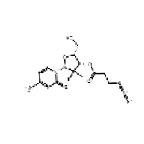 [N-]=[N+]=NCCC(=O)O[C@H]1[C@@H](CO)O[C@@H](n2ccc(N)nc2=O)C1(F)F